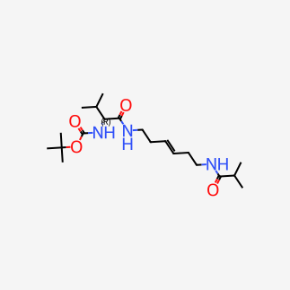 CC(C)C(=O)NCCC=CCCNC(=O)[C@H](NC(=O)OC(C)(C)C)C(C)C